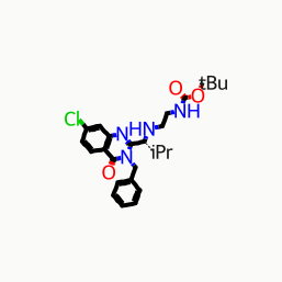 CC(C)[C@@H](NCCNC(=O)OC(C)(C)C)c1nc2cc(Cl)ccc2c(=O)n1Cc1ccccc1